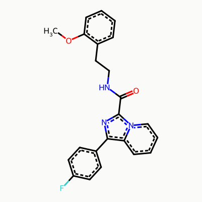 COc1ccccc1CCNC(=O)c1nc(-c2ccc(F)cc2)c2ccccn12